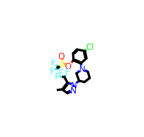 Cc1cnn(C2CCCN(c3cc(Cl)ccc3OS(=O)C(F)(F)F)C2)c1C(F)F